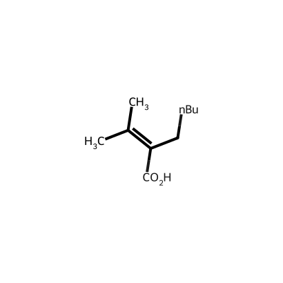 CCCCCC(C(=O)O)=C(C)C